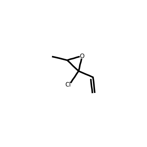 C=CC1(Cl)OC1C